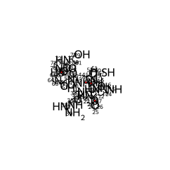 CC(=O)N[C@@H](CCS)C(=O)N[C@@H](Cc1c[nH]cn1)C(=O)N[C@H](Cc1ccccc1)C(=O)N[C@@H](CCCNC(=N)N)C(=O)N[C@@H](Cc1c[nH]c2ccccc12)C(=O)N[C@@H](CS)C(=O)N1CCC[C@H]1C(=O)N1CCC[C@H]1C(=O)N[C@@H](CO)C(C)=O